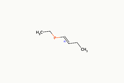 CC/C=C/[P]CC